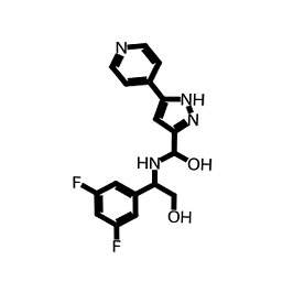 OCC(NC(O)c1cc(-c2ccncc2)[nH]n1)c1cc(F)cc(F)c1